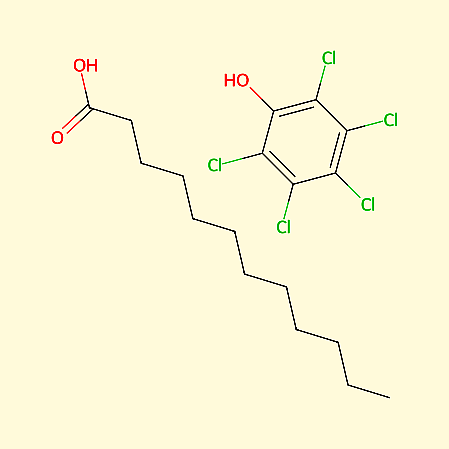 CCCCCCCCCCCC(=O)O.Oc1c(Cl)c(Cl)c(Cl)c(Cl)c1Cl